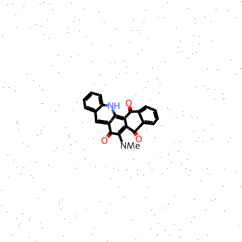 CNc1c2c(c3[nH]c4ccccc4cc-3c1=O)C(=O)c1ccccc1C2=O